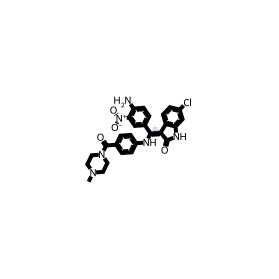 CN1CCN(C(=O)c2ccc(N/C(=C3\C(=O)Nc4cc(Cl)ccc43)c3ccc(N)c([N+](=O)[O-])c3)cc2)CC1